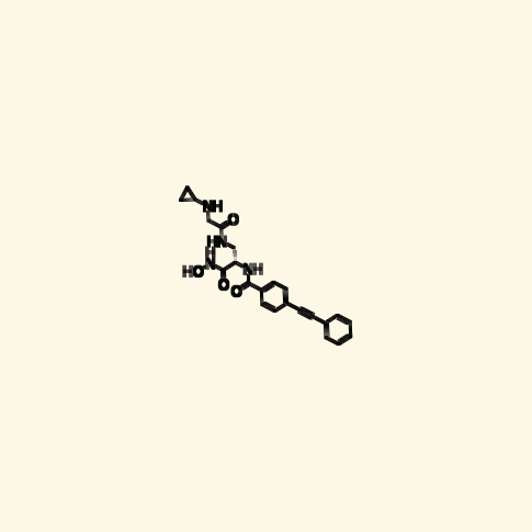 O=C(CNC1CC1)NC[C@H](NC(=O)c1ccc(C#Cc2ccccc2)cc1)C(=O)NO